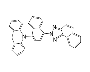 c1ccc2c(c1)Cc1ccccc1N2c1ccc(-n2nc3ccc4ccccc4c3n2)c2ccccc12